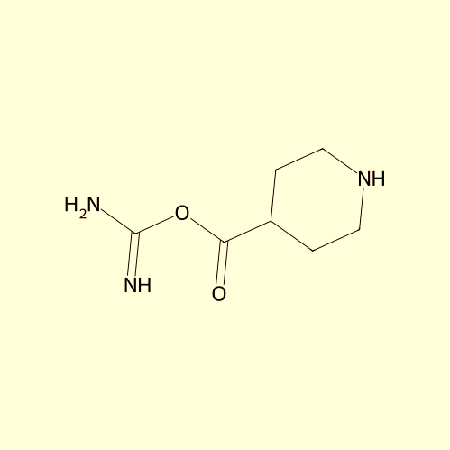 N=C(N)OC(=O)C1CCNCC1